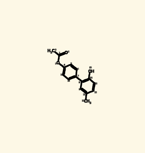 CC(=O)Oc1ccc(-c2cc(C)ccc2O)cc1